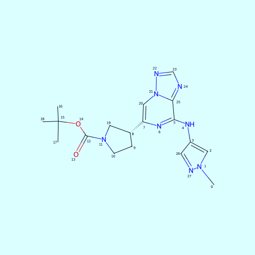 Cn1cc(Nc2nc([C@@H]3CCN(C(=O)OC(C)(C)C)C3)cn3ncnc23)cn1